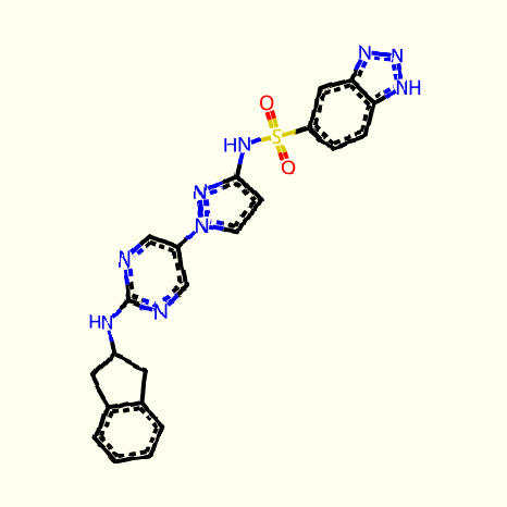 O=S(=O)(Nc1ccn(-c2cnc(NC3Cc4ccccc4C3)nc2)n1)c1ccc2[nH]nnc2c1